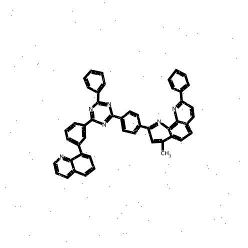 Cc1cc(-c2ccc(-c3nc(-c4ccccc4)nc(-c4cccc(-c5cccc6cccnc56)c4)n3)cc2)nc2c1ccc1ccc(-c3ccccc3)nc12